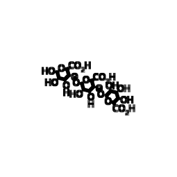 O=C(O)C1O[C@H](OO[C@H]2C(C(=O)O)O[C@H](OO[C@H]3C(C(=O)O)O[C@H](O)[C@@H](O)[C@@H]3O)[C@@H](O)[C@@H]2O)[C@@H](O)[C@H](O)[C@H]1O